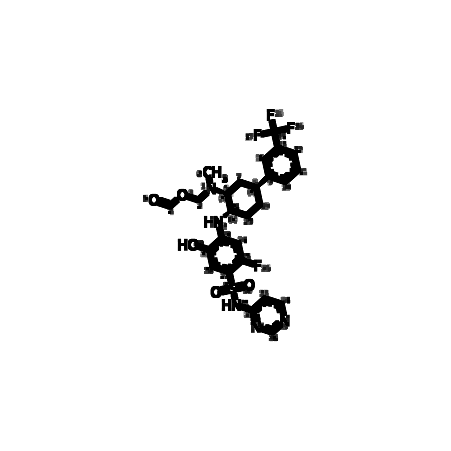 CN(COC=O)[C@H]1C[C@@H](c2cccc(C(F)(F)F)c2)CC[C@@H]1Nc1cc(F)c(S(=O)(=O)Nc2ccncn2)cc1O